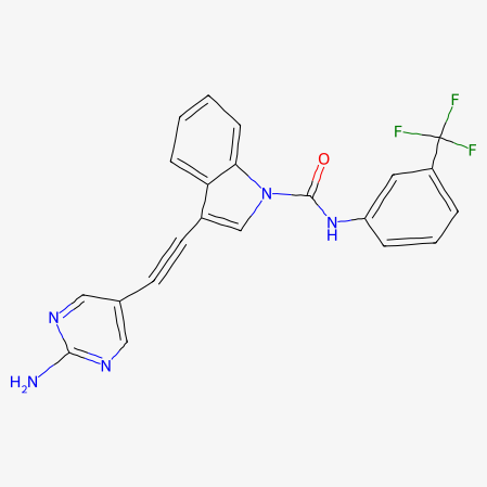 Nc1ncc(C#Cc2cn(C(=O)Nc3cccc(C(F)(F)F)c3)c3ccccc23)cn1